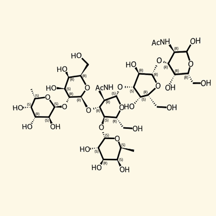 CC(=O)N[C@H]1[C@H](O[C@H]2[C@@H](O)[C@@H](CO)O[C@@H](O[C@H]3[C@@H](O)[C@@H](CO)OC(O)[C@@H]3NC(C)=O)[C@@H]2O)O[C@H](CO)[C@@H](O[C@@H]2O[C@@H](C)[C@@H](O)[C@@H](O)[C@@H]2O)[C@@H]1O[C@@H]1O[C@H](CO)[C@H](O)[C@H](O)[C@H]1O[C@@H]1O[C@@H](C)[C@@H](O)[C@@H](O)[C@@H]1O